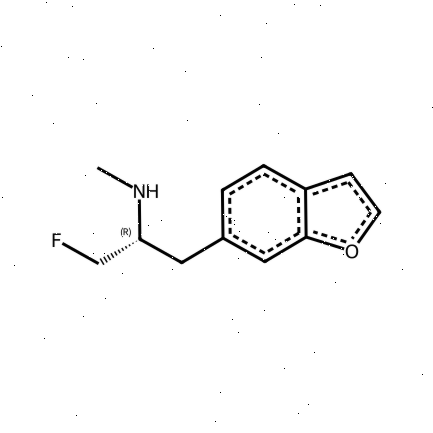 CN[C@@H](CF)Cc1ccc2ccoc2c1